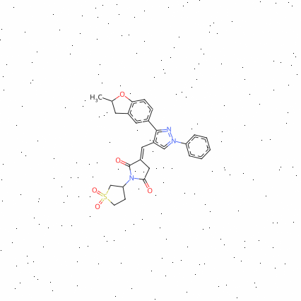 CC1Cc2cc(-c3nn(-c4ccccc4)cc3/C=C3\CC(=O)N(C4CCS(=O)(=O)C4)C3=O)ccc2O1